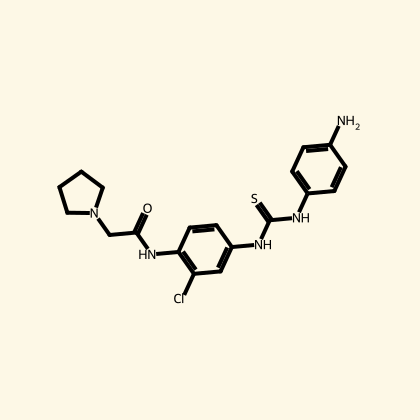 Nc1ccc(NC(=S)Nc2ccc(NC(=O)CN3CCCC3)c(Cl)c2)cc1